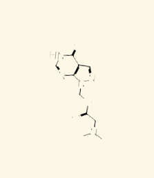 CN(C)CC(=O)OCn1ncc2c(=O)[nH]cnc21